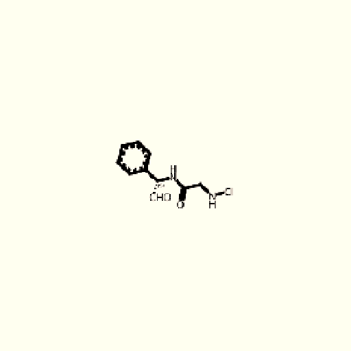 O=C[C@@H](NC(=O)CNCl)c1ccccc1